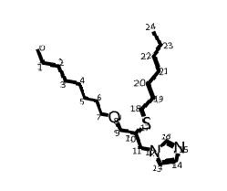 CCCCCCCCOCC(Cn1ccnc1)SCCCCCCC